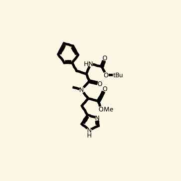 COC(=O)C(Cc1c[nH]cn1)N(C)C(=O)C(Cc1ccccc1)NC(=O)OC(C)(C)C